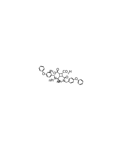 CCCN(Cc1ccc(Oc2ccccc2)cc1)C(=O)C1C(C(=O)O)C(C(=O)OC(C)C)C1C(=O)N(CCC)Cc1ccc(Oc2ccccc2)cc1